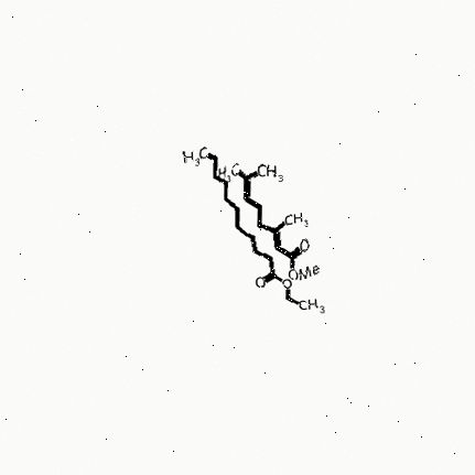 CCCCCCCCCCC(=O)OCC.COC(=O)/C=C(\C)CCC=C(C)C